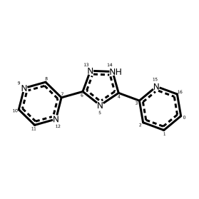 c1ccc(-c2nc(-c3cnccn3)n[nH]2)nc1